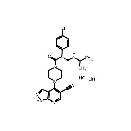 CC(C)NC[C@@H](C(=O)N1CCN(c2c(C#N)cnc3[nH]ncc23)CC1)c1ccc(Cl)cc1.Cl.Cl